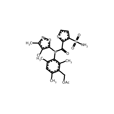 CC(=O)OCc1c(C)cc(C)c(N(C(=O)c2sccc2S(N)(=O)=O)c2onc(C)c2Cl)c1C